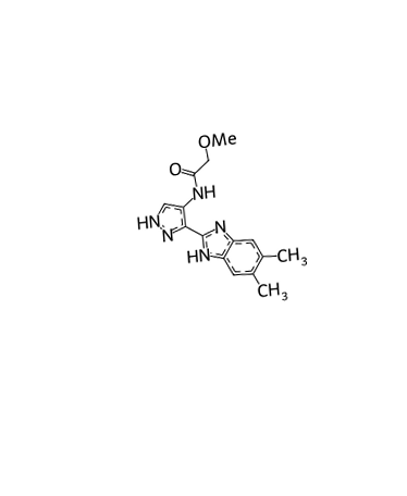 COCC(=O)Nc1c[nH]nc1-c1nc2cc(C)c(C)cc2[nH]1